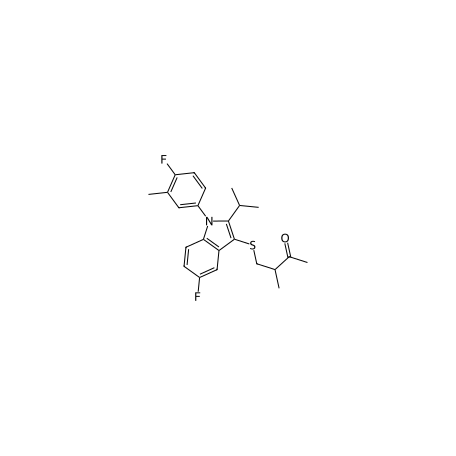 CC(=O)C(C)CSc1c(C(C)C)n(-c2ccc(F)c(C)c2)c2ccc(F)cc12